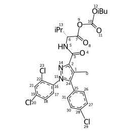 Cc1c(C(=O)N[C@@H](C(=O)OC(=O)OCC(C)C)C(C)C)nn(-c2ccc(Cl)cc2Cl)c1-c1ccc(Cl)cc1